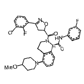 COC1CCN(c2cccc3c2CCN(C(=O)C2CC(c4cccc(Cl)c4F)=NO2)[C@H]3C(=O)Nc2cccc(F)c2)CC1